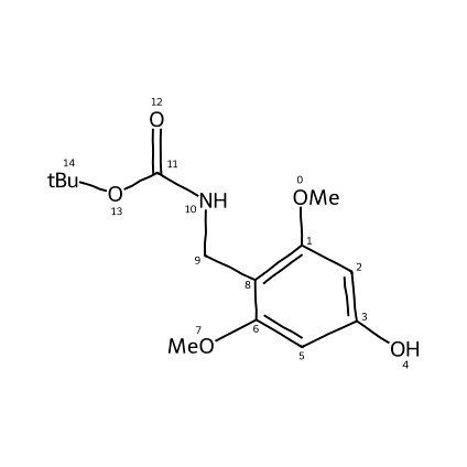 COc1cc(O)cc(OC)c1CNC(=O)OC(C)(C)C